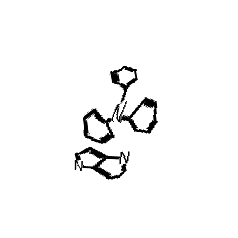 C1=NC2=CC=NC2=C1.c1ccc(N(c2ccccc2)c2ccccc2)cc1